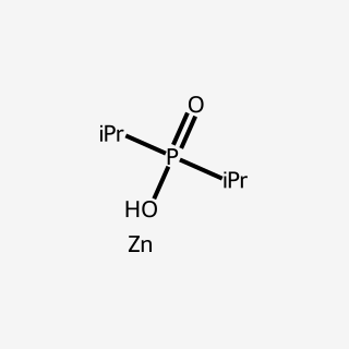 CC(C)P(=O)(O)C(C)C.[Zn]